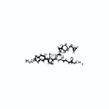 CCC(=O)CCCCC[C@H](NC(=O)[C@H]1CC12CCN(CC1CC1)CC2)c1ncc(-c2ccc3nn(C)cc3c2)[nH]1